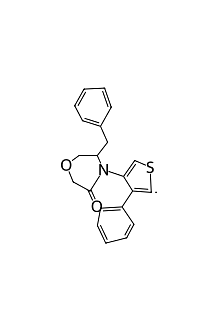 O=C1COCC(Cc2ccccc2)N1c1cs[c]c1-c1ccccc1